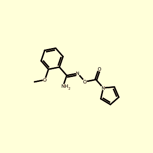 COc1ccccc1C(N)=NOC(=O)n1cccc1